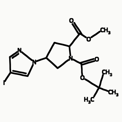 COC(=O)C1CC(n2cc(I)cn2)CN1C(=O)OC(C)(C)C